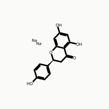 O=C1C[C@@H](c2ccc(O)cc2)Oc2cc(O)cc(O)c21.[Na].[Na]